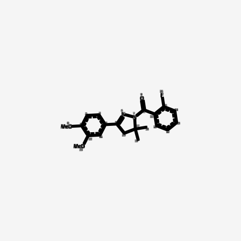 COc1ccc(C2=NN(C(=O)c3ccccc3F)C(C)(C)C2)cc1OC